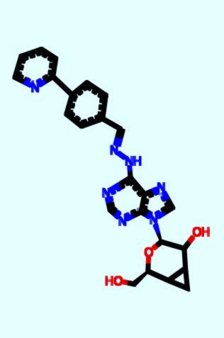 OC[C@H]1O[C@@H](n2cnc3c(N/N=C/c4ccc(-c5ccccn5)cc4)ncnc32)C(O)C2CC21